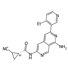 CCc1ccncc1-c1cc2cc(NC(=O)[C@@H]3CC3C#N)ncc2c(N)n1